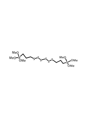 CO[Si](CCCSSSSSSCCC[Si](OC)(OC)OC)(OC)OC